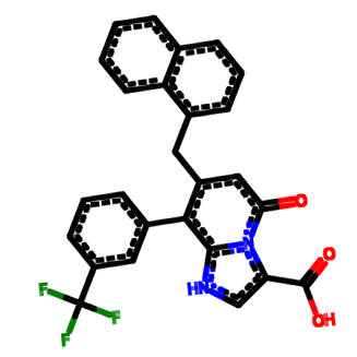 O=C(O)c1c[nH]c2c(-c3cccc(C(F)(F)F)c3)c(Cc3cccc4ccccc34)cc(=O)n12